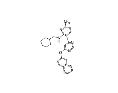 FC(F)(F)c1ccc(-c2cc(Oc3ccc4cccnc4c3)ncn2)c(NCC2CCCCC2)n1